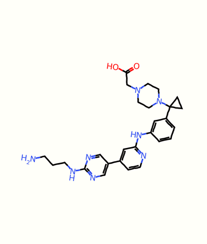 NCCCNc1ncc(-c2ccnc(Nc3cccc(C4(N5CCN(CC(=O)O)CC5)CC4)c3)c2)cn1